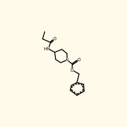 CCC(=O)NC1CCN(C(=O)OCc2ccccc2)CC1